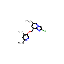 COc1cc(C=O)c(OCc2cc(C(=O)O)cn3cc(Br)nc23)cn1